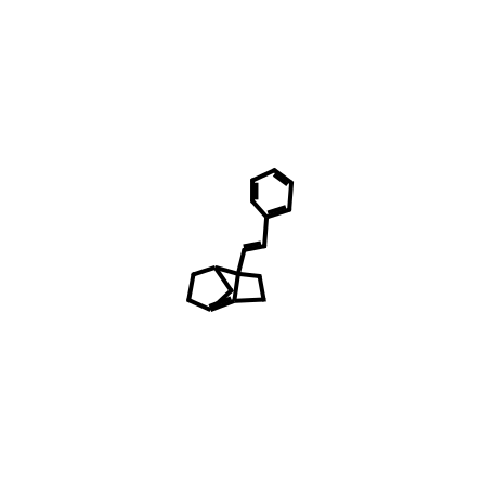 C(=CC12CCC1=C1CCC2C1)c1ccccc1